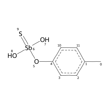 Cc1ccc([O][Sb]([OH])([OH])=[S])cc1